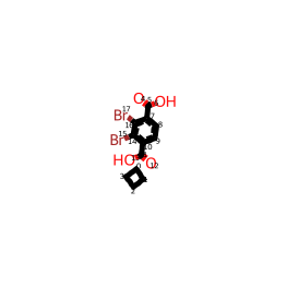 C1CCC1.O=C(O)c1ccc(C(=O)O)c(Br)c1Br